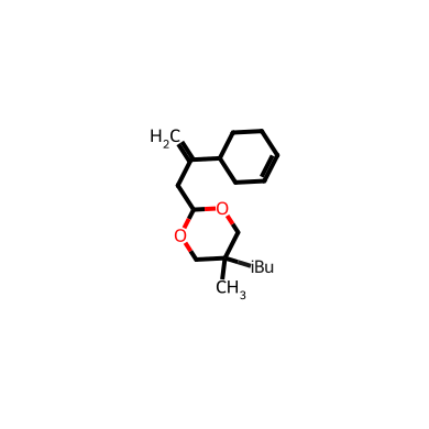 C=C(CC1OCC(C)(C(C)CC)CO1)C1CC=CCC1